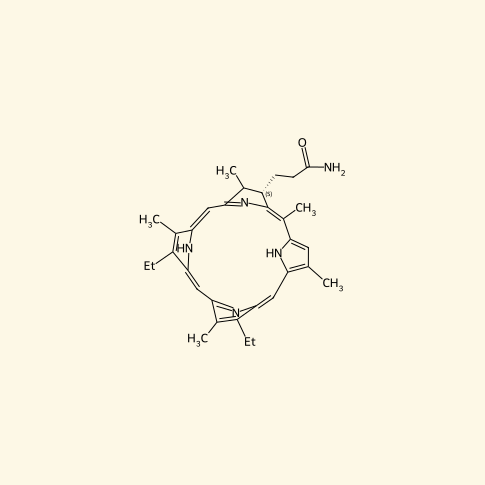 CCC1=C(C)c2cc3[nH]c(cc4nc(c(C)c5cc(C)c(cc1n2)[nH]5)[C@@H](CCC(N)=O)C4C)c(C)c3CC